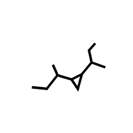 CCC(C)[C]1CC1C(C)CC